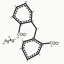 O=C([O-])c1ccccc1Cc1ccccc1C(=O)[O-].[Ag+].[Ag+]